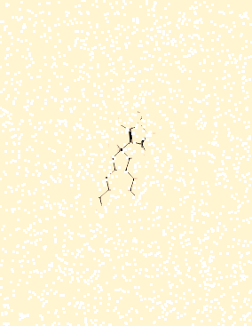 CCCCCCC(C)(CCCCC)c1c(Cl)nn(C)c1Br